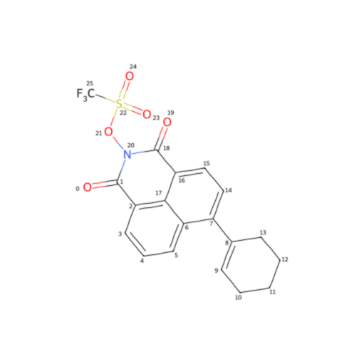 O=C1c2cccc3c(C4=CCCCC4)ccc(c23)C(=O)N1OS(=O)(=O)C(F)(F)F